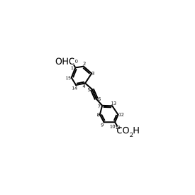 O=Cc1ccc(C#Cc2ccc(C(=O)O)cc2)cc1